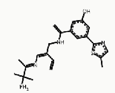 C=C/C(=C\N=C(/C)C(C)(C)P)CNC(=C)c1cc(O)cc(-c2ncc(C)s2)c1